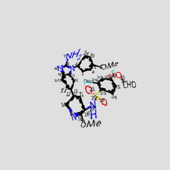 COc1ccc(-n2c(N)nc3ccc(-c4cnc(OC)c(NS(=O)(=O)c5ccc(F)cc5F)c4)cc32)cc1.O=CO